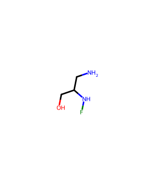 NCC(CO)NF